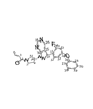 C=CC(=O)N1CC[C@@H](n2nc(-c3ccc(Oc4ccccc4)cc3F)c3cncnc32)C1